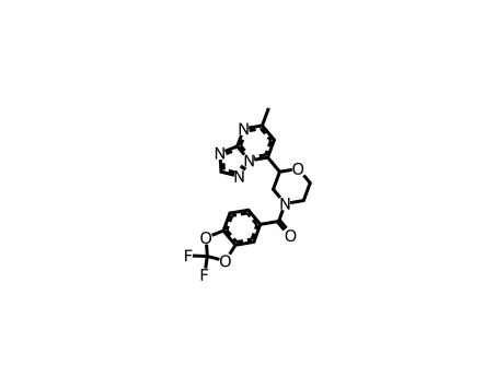 Cc1cc(C2CN(C(=O)c3ccc4c(c3)OC(F)(F)O4)CCO2)n2ncnc2n1